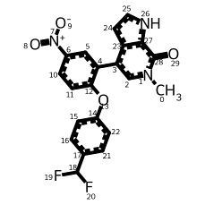 Cn1cc(-c2cc([N+](=O)[O-])ccc2Oc2ccc(C(F)F)cc2)c2cc[nH]c2c1=O